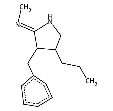 CCCC1CN/C(=N\C)C1Cc1ccccc1